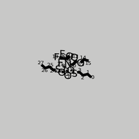 CCCCSOP(=O)(CN(CC(=O)OCC)C(=O)C(F)(F)F)OSCCCC